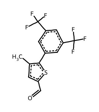 Cc1cc(C=O)sc1-c1cc(C(F)(F)F)cc(C(F)(F)F)c1